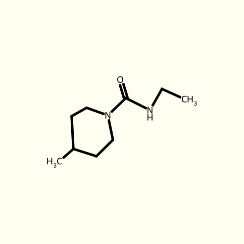 CCNC(=O)N1CCC(C)CC1